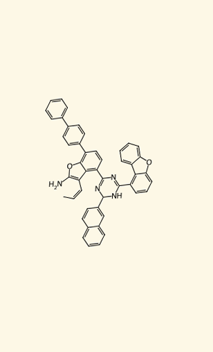 C/C=C\c1c(N)oc2c(-c3ccc(-c4ccccc4)cc3)ccc(C3=NC(c4ccc5ccccc5c4)NC(c4cccc5oc6ccccc6c45)=N3)c12